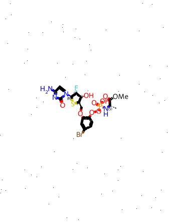 COC(=O)[C@H](C)NP(=O)(O)OOc1ccc(Br)cc1OC[C@H]1S[C@@H](n2ccc(N)nc2=O)[C@@H](F)[C@@H]1O